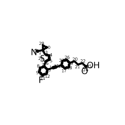 N#CC1(c2ccc(-c3ccc(F)cc3C#Cc3ccc(CCCC(=O)O)cc3)s2)CC1